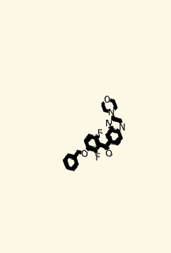 O=C(c1ccc2ncc(N3CCOCC3)nc2c1)c1c(F)ccc(OCc2ccccc2)c1F